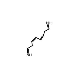 N=CC/C=C\C=C/CC=N